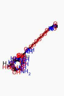 CC[C@H](C)[C@@H]1NC(=O)CNC(=O)[C@@H]2Cc3c([nH]c4c(CSCCCCNC(=O)NCCOCCOCCOCCOCCOCCOCCOCCn5cc(CN6C(=O)C=CC6=O)nn5)c(O)ccc34)[S+]([O-])CC(NC(=O)CNC1=O)C(=O)NC(CC(N)=O)C(=O)N1C[C@H](O)C[C@H]1C(=O)NC([C@@H](C)C(O)CO)C(=O)N2